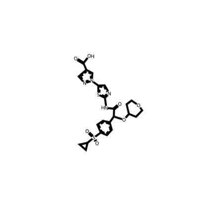 O=C(O)c1cnn(-c2cnc(NC(=O)C(OC3CCOCC3)c3ccc(S(=O)(=O)C4CC4)cc3)s2)c1